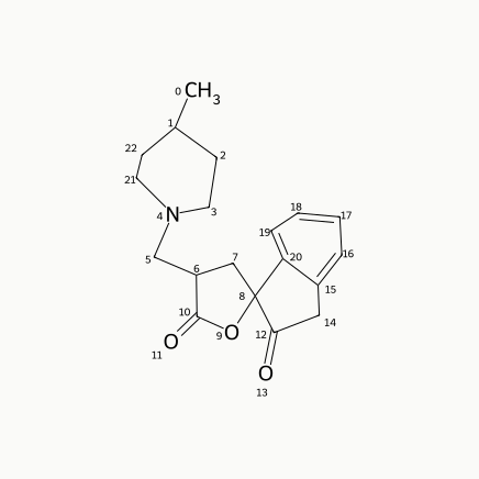 CC1CCN(CC2CC3(OC2=O)C(=O)Cc2ccccc23)CC1